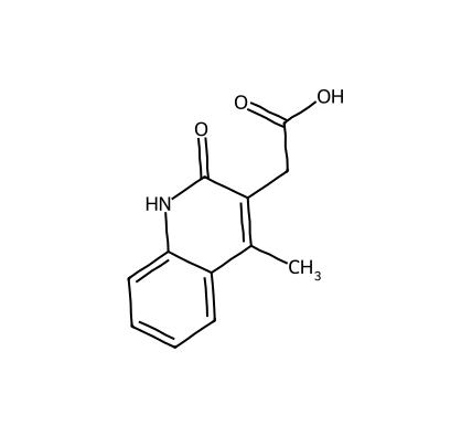 Cc1c(CC(=O)O)c(=O)[nH]c2ccccc12